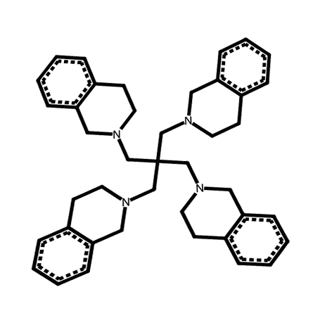 c1ccc2c(c1)CCN(CC(CN1CCc3ccccc3C1)(CN1CCc3ccccc3C1)CN1CCc3ccccc3C1)C2